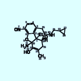 CCC12c3c4ccc(N=O)c3OC1(N)C(O)=C(C)C[C@@]2(O)C(NCC1CC1)C4